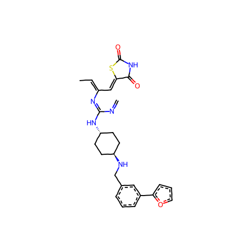 C=N\C(=N/C(=C\C)/C=C1\SC(=O)NC1=O)N[C@H]1CC[C@H](NCc2cccc(-c3ccco3)c2)CC1